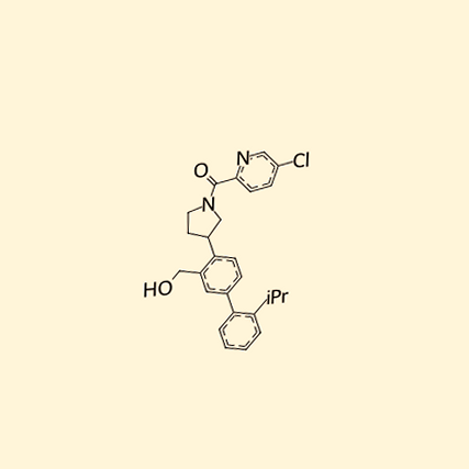 CC(C)c1ccccc1-c1ccc(C2CCN(C(=O)c3ccc(Cl)cn3)C2)c(CO)c1